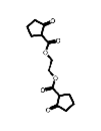 O=C1CCCC1C(=O)OCCOC(=O)C1CCCC1=O